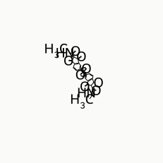 CCNC(=O)C1C(=O)c2ccc(S(=O)(=O)c3ccc4c(c3)C(=O)C(C(=O)NCC)C4=O)cc2C1=O